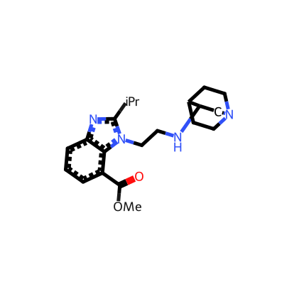 COC(=O)c1cccc2nc(C(C)C)n(CCNC3CN4CCC3CC4)c12